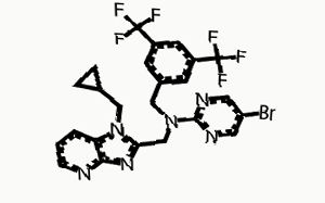 FC(F)(F)c1cc(CN(Cc2nc3ncccc3n2CC2CC2)c2ncc(Br)cn2)cc(C(F)(F)F)c1